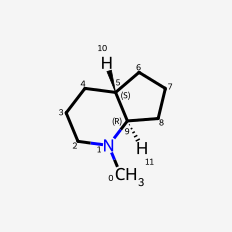 CN1CCC[C@@H]2CCC[C@H]21